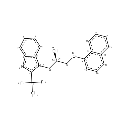 CC(F)(F)c1nc2ccccc2n1C[C@@H](O)COc1cccc2ccccc12